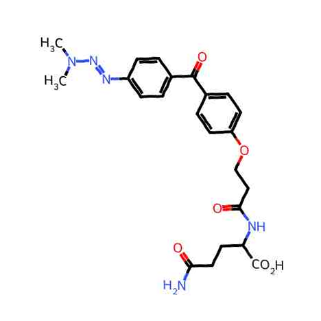 CN(C)/N=N/c1ccc(C(=O)c2ccc(OCCC(=O)NC(CCC(N)=O)C(=O)O)cc2)cc1